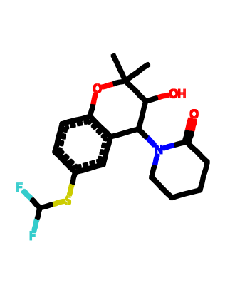 CC1(C)Oc2ccc(SC(F)F)cc2C(N2CCCCC2=O)C1O